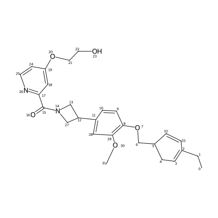 CCC1=CCC(COc2ccc(C3CN(C(=O)c4cc(OCCO)ccn4)C3)cc2OC)C=C1